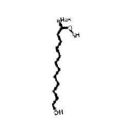 CCCCCCC(CCCCCCCCCCCO)OS